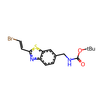 CC(C)(C)OC(=O)NCc1ccc2nc(C=CBr)sc2c1